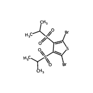 CC(C)S(=O)(=O)c1c(Br)sc(Br)c1S(=O)(=O)C(C)C